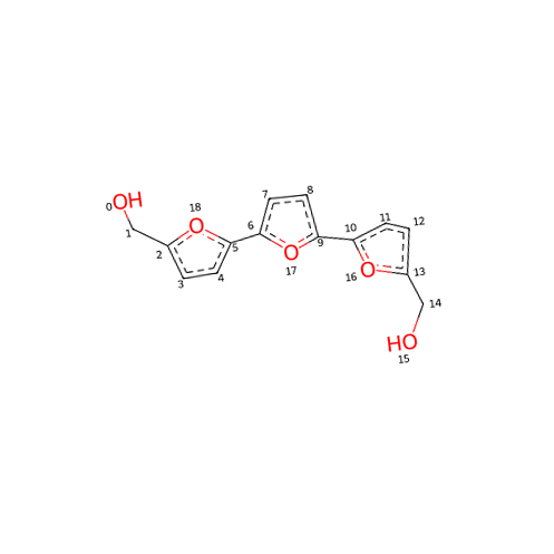 OCc1ccc(-c2ccc(-c3ccc(CO)o3)o2)o1